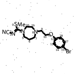 CS/C(=N\C#N)N1CCCN(CCOc2ccc(Br)cc2)CC1